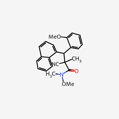 COc1ccccc1C(c1cccc2ccccc12)C(C)(C#N)C(=O)N(C)OC